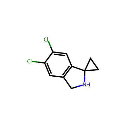 Clc1cc2c(cc1Cl)C1(CC1)NC2